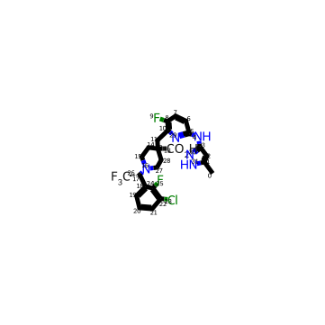 Cc1cc(Nc2ccc(F)c(CC3(C(=O)O)CCN([C@H](c4cccc(Cl)c4F)C(F)(F)F)CC3)n2)n[nH]1